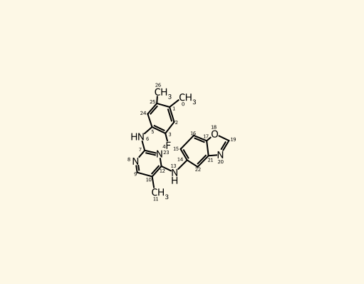 Cc1cc(F)c(Nc2ncc(C)c(Nc3ccc4ocnc4c3)n2)cc1C